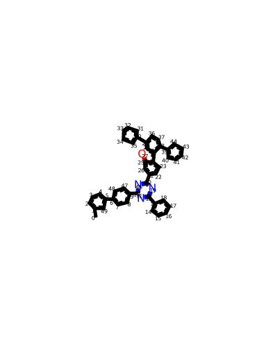 Cc1cccc(-c2ccc(-c3nc(-c4ccccc4)nc(-c4ccc5c(c4)oc4c(-c6ccccc6)ccc(-c6ccccc6)c45)n3)cc2)c1